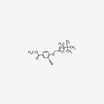 COC(=O)c1ccc(OCCO[Si](C)(C)C(C)(C)C)c(C#N)c1